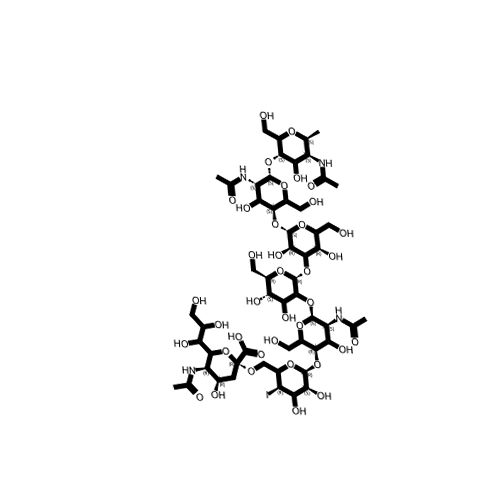 CC(=O)N[C@H]1C(O)[C@H](O[C@@H]2OC(CO)[C@@H](O)C(O[C@H]3O[C@H](CO)[C@@H](O)C(O)C3O[C@@H]3OC(CO)[C@H](O[C@@H]4OC(CO[C@]5(C(=O)O)C[C@@H](O)[C@@H](NC(C)=O)C(C(O)C(O)CO)O5)[C@H](I)C(O)[C@@H]4O)C(O)[C@@H]3NC(C)=O)[C@H]2O)C(CO)O[C@H]1O[C@@H]1C(CO)O[C@@H](C)[C@@H](NC(C)=O)C1O